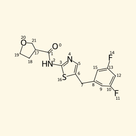 O=C(Nc1ncc(Cc2cc(F)cc(F)c2)s1)C1CCOC1